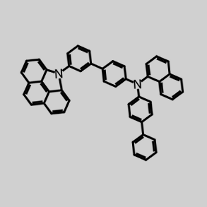 c1ccc(-c2ccc(N(c3ccc(-c4cccc(-n5c6cccc7ccc8cccc5c8c76)c4)cc3)c3cccc4ccccc34)cc2)cc1